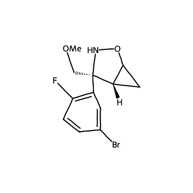 COC[C@]1(c2cc(Br)ccc2F)NOC2C[C@@H]21